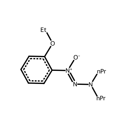 CCCN(CCC)N=[N+]([O-])c1ccccc1OCC